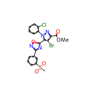 COC(=O)c1nn(-c2ccccc2Cl)c(-c2nc(-c3cccc(S(C)(=O)=O)c3)no2)c1Br